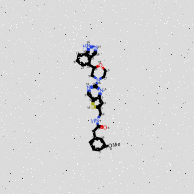 COc1cccc(CC(=O)NCc2cc3nc(N4CCOC(c5cccc6[nH]ncc56)C4)ncc3s2)c1